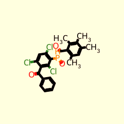 Cc1cc(C)c(C(=O)[PH](=O)c2c(Cl)cc(Cl)c(C(=O)c3ccccc3)c2Cl)c(C)c1C